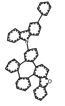 c1ccc(-c2ccc3c(c2)c2ccccc2n3-c2ccc3c(c2)-c2ccccc2-c2ccccc2-c2c-3ccc3oc4ccccc4c23)cc1